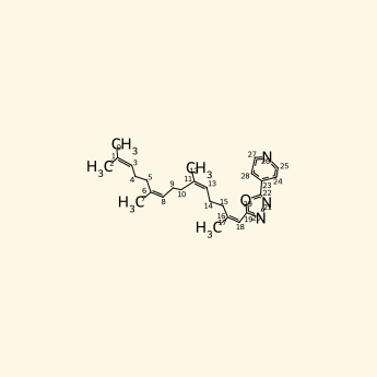 CC(C)=CCCC(C)=CCCC(C)=CCCC(C)=Cc1nnc(-c2ccncc2)o1